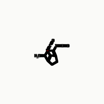 C=C1CC(N=C=O)=C2CCC1=C2N=C=O